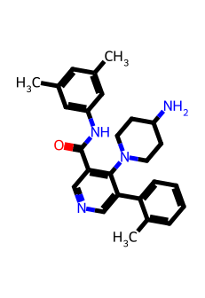 Cc1cc(C)cc(NC(=O)c2cncc(-c3ccccc3C)c2N2CCC(N)CC2)c1